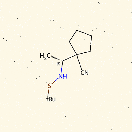 C[C@@H](NSC(C)(C)C)C1(C#N)CCCC1